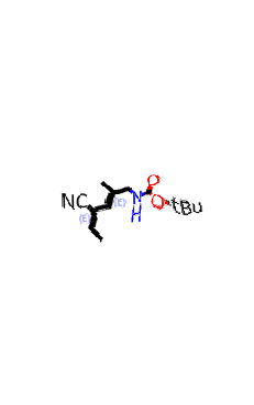 C/C=C(C#N)\C=C(/C)CNC(=O)OC(C)(C)C